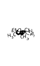 CCC(=O)C(C)CC1CC2CC(C1C)C2(C)C